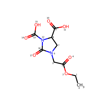 CCOC(=O)CN1CC(C(=O)O)N(C(=O)O)C1=O